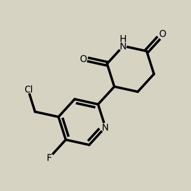 O=C1CCC(c2cc(CCl)c(F)cn2)C(=O)N1